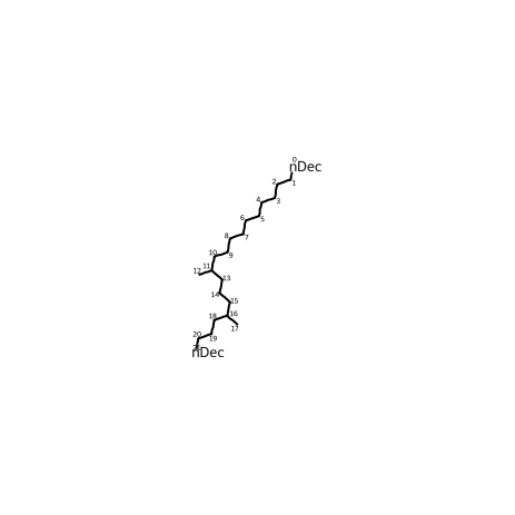 CCCCCCCCCCCCCCCCCCCCC(C)CCCC(C)CCCCCCCCCCCCC